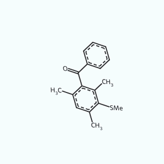 CSc1c(C)cc(C)c(C(=O)c2ccccc2)c1C